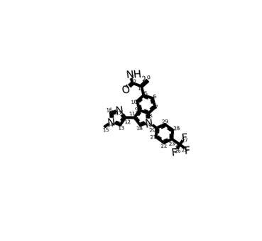 C=C(C(N)=O)c1ccc2c(c1)c(-c1cn(C)cn1)cn2-c1ccc(C(F)(F)F)cc1